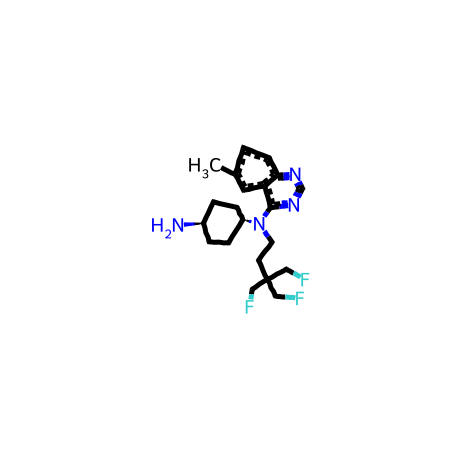 Cc1ccc2ncnc(N(CCC(CF)(CF)CF)[C@H]3CC[C@H](N)CC3)c2c1